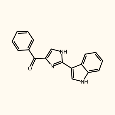 O=C(c1ccccc1)c1c[nH]c(-c2c[nH]c3ccccc23)n1